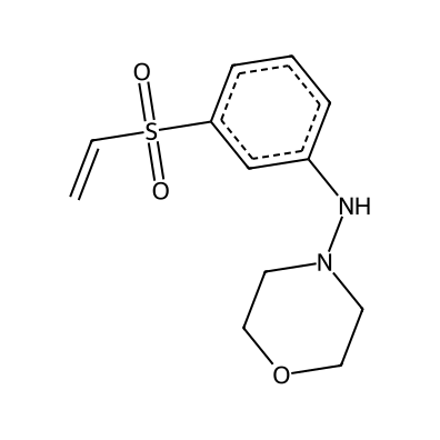 C=CS(=O)(=O)c1cccc(NN2CCOCC2)c1